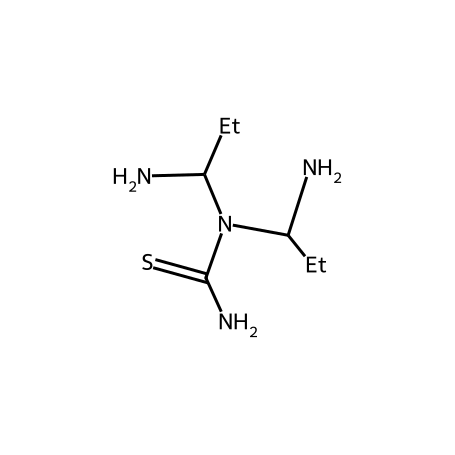 CCC(N)N(C(N)=S)C(N)CC